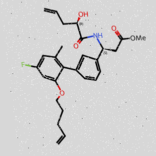 C=CCCCOc1cc(F)cc(C)c1-c1cccc([C@H](CC(=O)OC)NC(=O)[C@H](O)CC=C)c1